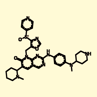 CN1CCCCC1c1cc2cnc(Nc3ccc(N(C)C4CCNCC4)cc3)nc2n(Cc2ocnc2[S+]([O-])c2ccncc2)c1=O